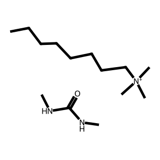 CCCCCCCC[N+](C)(C)C.CNC(=O)NC